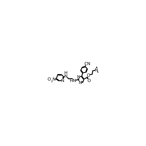 CN(C)CCOC(=O)c1cnc(NCCNc2ccc([N+](=O)[O-])cn2)nc1-c1ccc(C#N)cc1